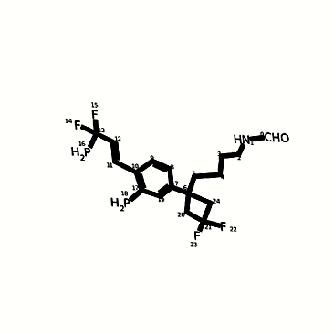 O=CNCCCCC1(c2ccc(/C=C/C(F)(F)P)c(P)c2)CC(F)(F)C1